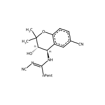 CCCCCC(=NC#N)N[C@@H]1c2cc(C#N)ccc2OC(C)(C)[C@H]1O